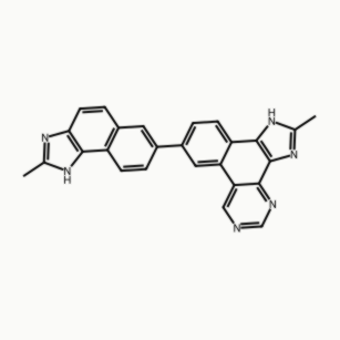 Cc1nc2ccc3cc(-c4ccc5c(c4)c4cncnc4c4nc(C)[nH]c54)ccc3c2[nH]1